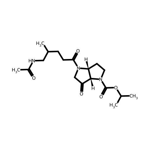 CC(=O)NCC(C)CCC(=O)N1CC(=O)[C@@H]2[C@H]1CCN2C(=O)OC(C)C